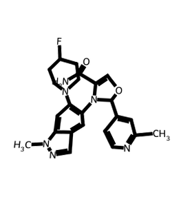 Cc1cc(C2OC=C(C(N)=O)N2c2cc3cnn(C)c3cc2N2CCC(F)CC2)ccn1